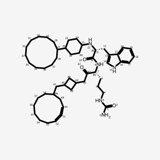 NC(=O)NCCC[C@@H](NC(=O)[C@@H](Cc1c[nH]c2ccccc12)NC1CCC(C2CCCCCCCCCCC2)CC1)C(=O)CC1CC(CC2CC=C=CCCCCCC2)C1